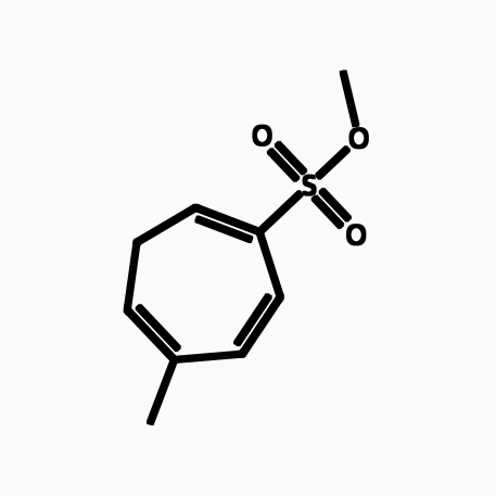 COS(=O)(=O)C1=CCC=C(C)C=C1